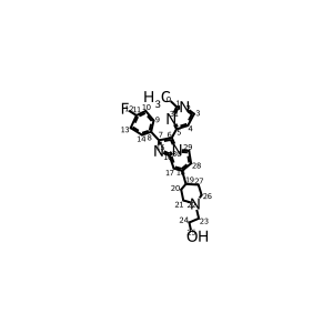 Cc1nccc(-c2c(-c3ccc(F)cc3)nc3cc(C4CCN(CCO)CC4)ccn23)n1